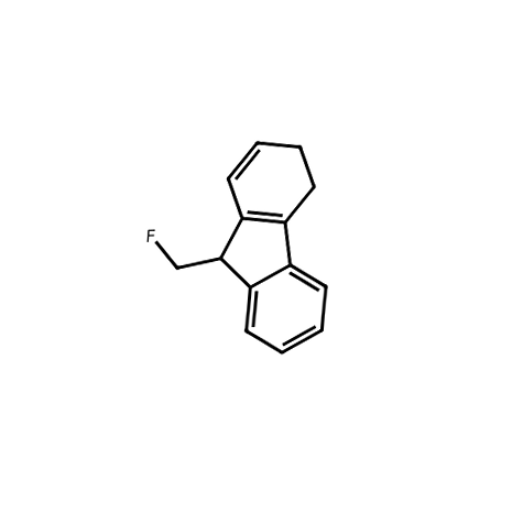 FCC1C2=C(CCC=C2)c2ccccc21